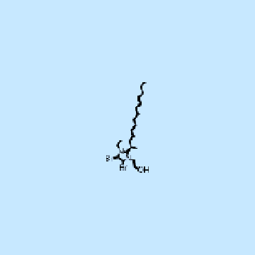 CCCCCCCCCCCCC(C)C1N(CC)C(Br)C(Br)N1CCO